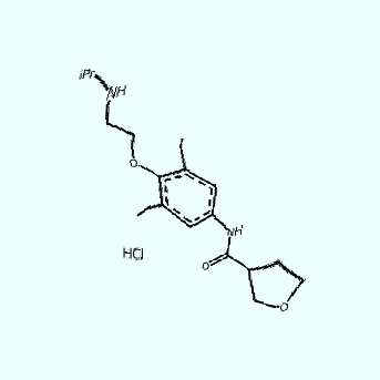 Cc1cc(NC(=O)C2CCOC2)cc(C)c1OCCNC(C)C.Cl